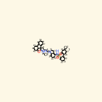 O=C(NCC(F)(F)F)C1(CCCCn2ccc3c(NS(=O)(=O)c4ccccc4-c4ccc(C(F)(F)F)cc4)cccc32)c2ccccc2-c2ccccc21